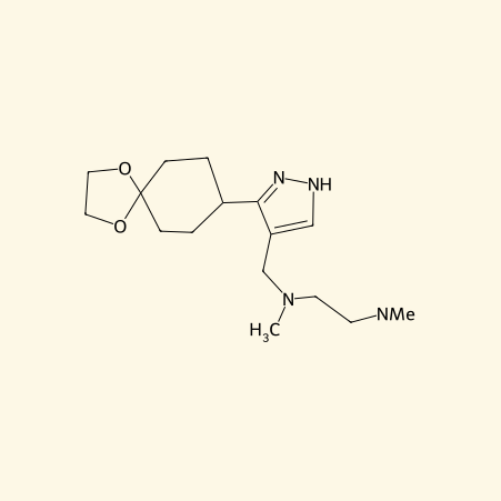 CNCCN(C)Cc1c[nH]nc1C1CCC2(CC1)OCCO2